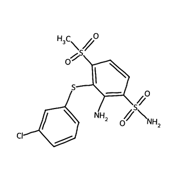 CS(=O)(=O)c1ccc(S(N)(=O)=O)c(N)c1Sc1cccc(Cl)c1